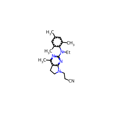 CCN(c1nc(C)c2c(n1)N(CCC#N)CC2)c1c(C)cc(C)cc1C